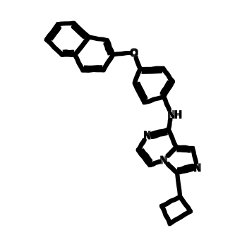 c1ccc2cc(Oc3ccc(Nc4nccn5c(C6CCC6)ncc45)cc3)ccc2c1